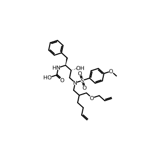 C=CCCC(COCC=C)CN(C[C@@H](O)[C@H](Cc1ccccc1)NC(=O)O)S(=O)(=O)c1ccc(OC)cc1